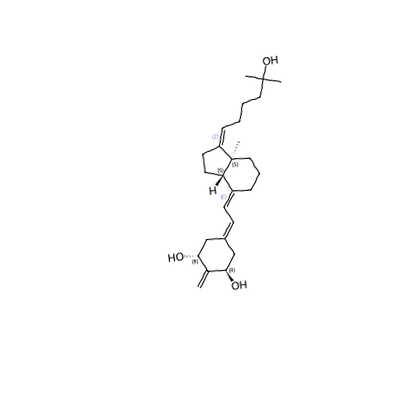 C=C1[C@H](O)CC(=C/C=C2\CCC[C@]3(C)/C(=C\CCCC(C)(C)O)CC[C@@H]23)C[C@H]1O